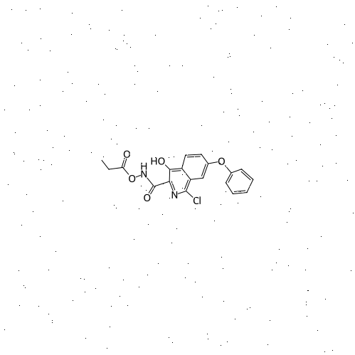 CCC(=O)ONC(=O)c1nc(Cl)c2cc(Oc3ccccc3)ccc2c1O